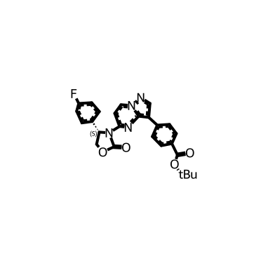 CC(C)(C)OC(=O)c1ccc(-c2cnn3ccc(N4C(=O)OC[C@@H]4c4ccc(F)cc4)nc23)cc1